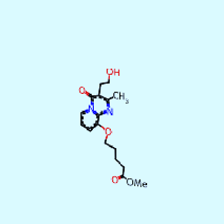 COC(=O)CCCCOc1cccn2c(=O)c(CCO)c(C)nc12